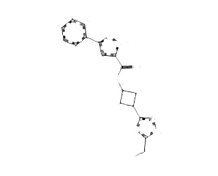 O=C(NC1CC(c2noc(CO)n2)C1)c1cc(-c2ccccc2)on1